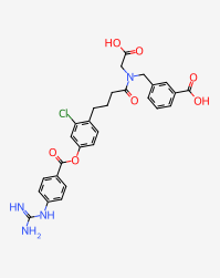 N=C(N)Nc1ccc(C(=O)Oc2ccc(CCCC(=O)N(CC(=O)O)Cc3cccc(C(=O)O)c3)c(Cl)c2)cc1